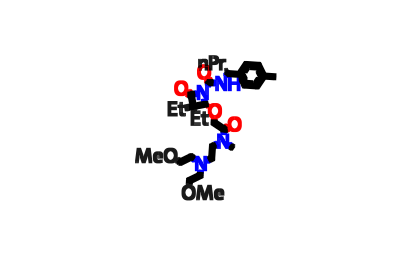 CCC[C@@H](NC(=O)N1C(=O)C(CC)(CC)[C@@H]1OCC(=O)N(C)CCN(CCOC)CCOC)c1ccc(C)cc1